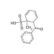 CC1(S(=O)(=O)O)C=CC=CC1C(=O)c1ccccc1